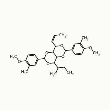 C/C=C\C1OC(c2ccc(OC)c(C)c2)OC2C(C(C)CC)OC(c3ccc(OC)c(C)c3)OC12